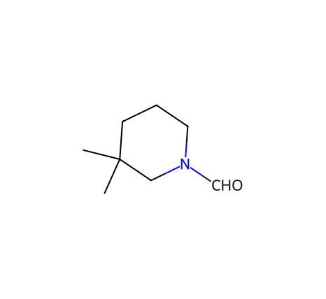 CC1(C)CCCN(C=O)C1